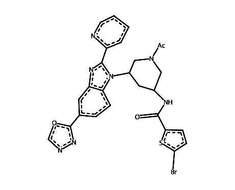 CC(=O)N1CC(NC(=O)c2ccc(Br)s2)CC(n2c(-c3ccccn3)nc3cc(-c4nnco4)ccc32)C1